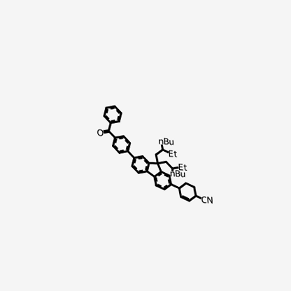 CCCCC(CC)CC1(CC(CC)CCCC)c2cc(-c3ccc(C(=O)c4ccccc4)cc3)ccc2-c2ccc(C3C=CC(C#N)CC3)cc21